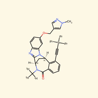 [2H]C([2H])([2H])N1C(=O)c2cccc(C#C[Si](C(C)C)(C(C)C)C(C)C)c2[C@H]2C[C@@H]1c1nc3ccc(OCc4cnn(C)c4)cc3n12